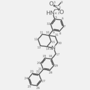 CS(=O)(=O)Nc1cccc(C23CCCC(C2)N(Cc2ccc(-c4ccccc4)cc2)CC3)c1